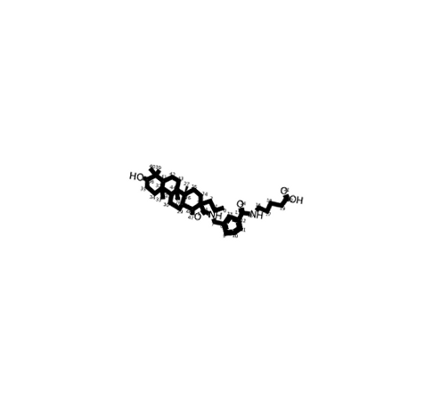 CCCC1(C(=O)NCc2cccc(C(=O)NCCCCC(=O)O)c2)CC[C@]2(C)C(CCC3C4(C)CCC(O)C(C)(C)C4CCC32C)C1C